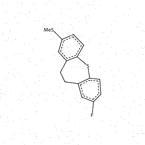 CSc1ccc2c(c1)CCc1cc(F)ccc1S2